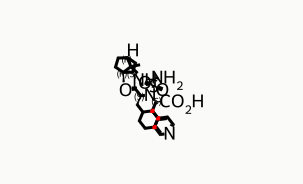 CC1(C)[C@@H]2CC[C@@]1(C)[C@@H](NC(=O)[C@H](CC1CCCCC1)N([C@@H](Cc1ccncc1)C(=O)O)S(N)(=O)=O)C2